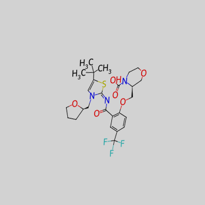 CC(C)(C)c1cn(C[C@H]2CCCO2)c(=NC(=O)c2cc(C(F)(F)F)ccc2OC[C@@H]2COCCN2C(=O)O)s1